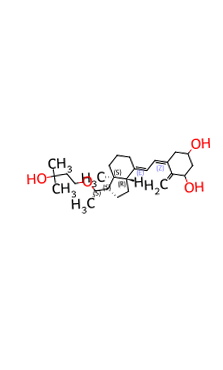 C=C1/C(=C\C=C2/CCC[C@]3(C)[C@@H]([C@H](C)OCCC(C)(C)O)CC[C@@H]23)CC(O)CC1O